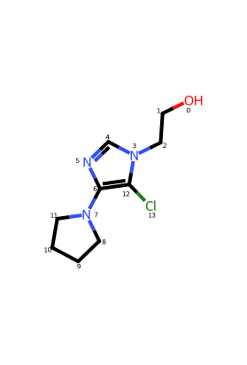 OCCn1cnc(N2CCCC2)c1Cl